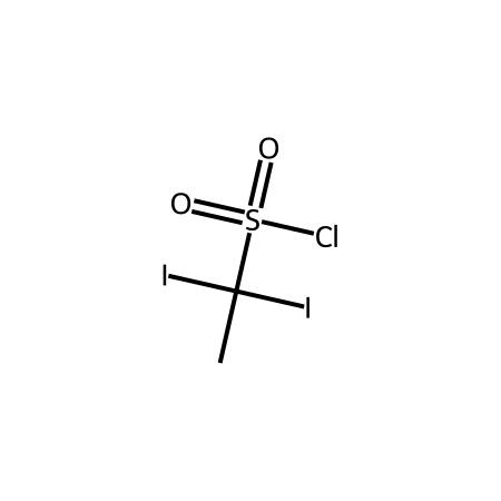 CC(I)(I)S(=O)(=O)Cl